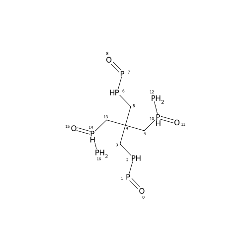 O=PPCC(CPP=O)(C[PH](=O)P)C[PH](=O)P